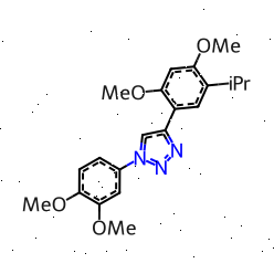 COc1ccc(-n2cc(-c3cc(C(C)C)c(OC)cc3OC)nn2)cc1OC